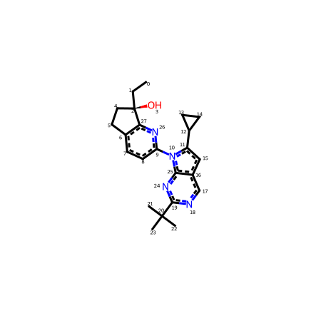 CC[C@@]1(O)CCc2ccc(-n3c(C4CC4)cc4cnc(C(C)(C)C)nc43)nc21